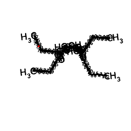 CCCCCCCC/C=C\CCCCCCCCOC[C@H](COP(=O)(O)OCC(O)COP(=O)(O)OC[C@@H](COC(=O)CCCCCCC/C=C\CCCCCCCC)OC(=O)CCCCCCC/C=C\CCCCCCCC)OC(=O)CCCCCCC/C=C\CCCCCCCC